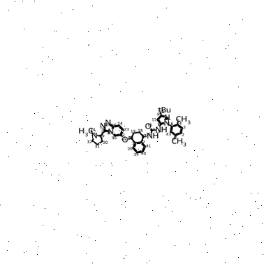 Cc1ccc(C)c(-n2nc(C(C)(C)C)cc2NC(=O)N[C@H]2CC[C@@H](Oc3ccc4nnc(C5CCCN5C)n4c3)c3ccccc32)c1